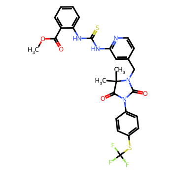 COC(=O)c1ccccc1NC(=S)Nc1cc(CN2C(=O)N(c3ccc(SC(F)(F)F)cc3)C(=O)C2(C)C)ccn1